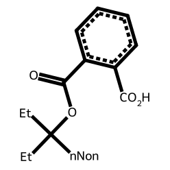 CCCCCCCCCC(CC)(CC)OC(=O)c1ccccc1C(=O)O